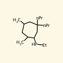 CCCC1(CCC)CC(C)CC(C)C(PCC)C1